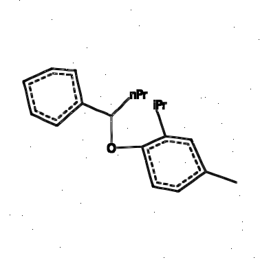 CCCC(Oc1ccc(C)cc1C(C)C)c1ccccc1